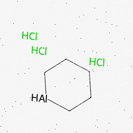 C1C[CH2][AlH][CH2]C1.Cl.Cl.Cl